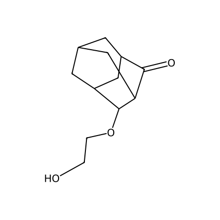 O=C1C2CC3CC(C2)C(OCCO)C1C3